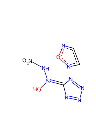 O=[N+]([O-])N[N+](O)=C1N=NN=N1.c1cnon1